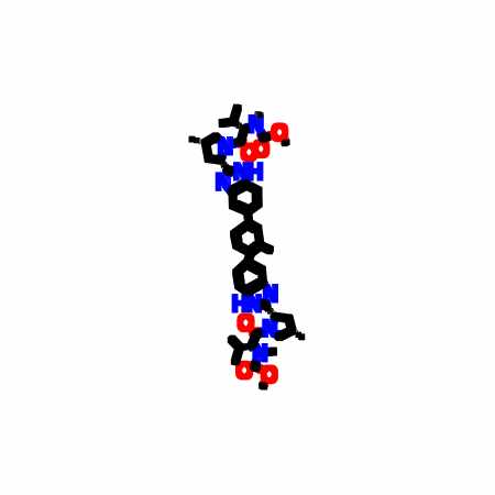 COC(=O)N(C)[C@H](C(=O)N1C[C@@H](C)C[C@H]1c1nc2cc(-c3ccc(-c4ccc5[nH]c([C@@H]6C[C@H](C)CN6C(=O)[C@H](C(C)C)N(C)C(=O)OC)nc5c4)c(C)c3)ccc2[nH]1)C(C)C